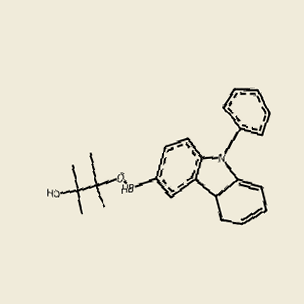 CC(C)(O)C(C)(C)OBc1ccc2c(c1)C1CC=CC=C1N2c1ccccc1